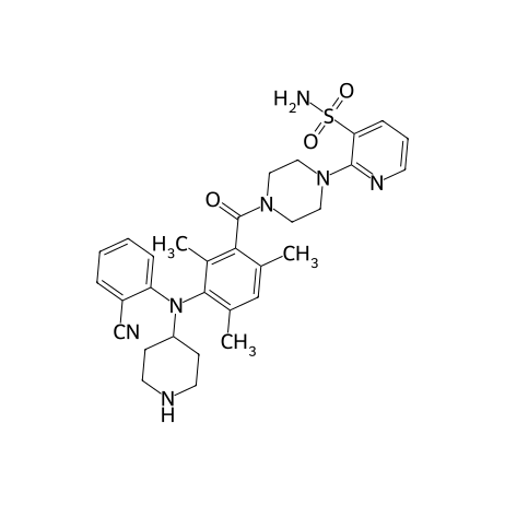 Cc1cc(C)c(N(c2ccccc2C#N)C2CCNCC2)c(C)c1C(=O)N1CCN(c2ncccc2S(N)(=O)=O)CC1